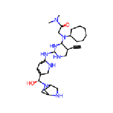 C#CC1CNC(NC2=CC=C([C@H](O)N3CC4CC3CN4)CN2)NC1N(CC(=O)N(C)C)C1CCCCCC1